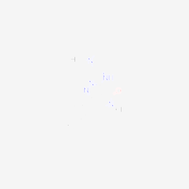 CN1CCC[C@@H](Nc2nnc(-c3ccc(C(F)(F)F)cc3)c3c2C(=O)N(C)C3)C1